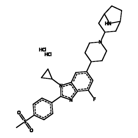 CS(=O)(=O)c1ccc(-c2nc3c(F)cc(C4CCN(C5CC6CCC(C5)N6)CC4)cc3n2C2CC2)cc1.Cl.Cl